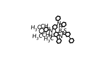 Cc1cc(-c2cc(N(c3ccccc3)c3ccccc3)ccc2Nc2ccc3c(c2)C(C)(C)CCC3(C)C)c2c3c1c1ccccc1n3-c1c(sc3ccc(-c4ccccc4)cc13)B2